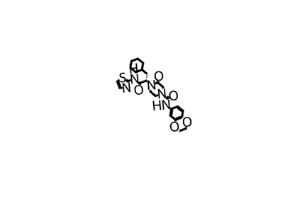 O=C(Nc1nccs1)[C@H](CC1CCCCC1)N1CCN(C(=O)Nc2ccc3c(c2)OCCO3)CC1=O